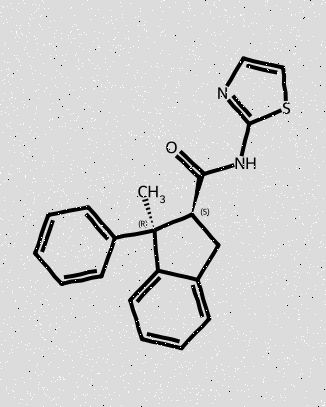 C[C@@]1(c2ccccc2)c2ccccc2C[C@@H]1C(=O)Nc1nccs1